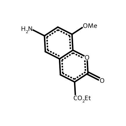 CCOC(=O)c1cc2cc(N)cc(OC)c2oc1=O